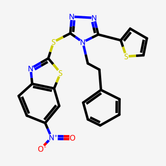 O=[N+]([O-])c1ccc2nc(Sc3nnc(-c4cccs4)n3CCc3ccccc3)sc2c1